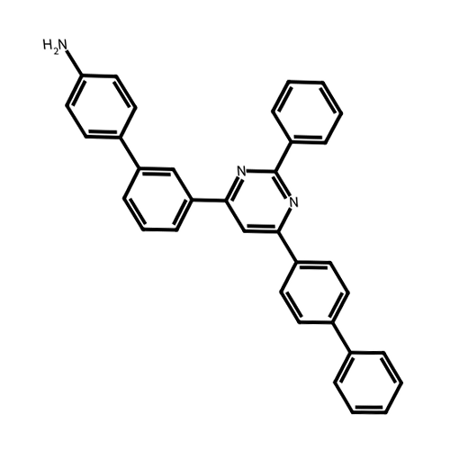 Nc1ccc(-c2cccc(-c3cc(-c4ccc(-c5ccccc5)cc4)nc(-c4ccccc4)n3)c2)cc1